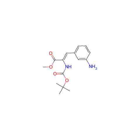 COC(=O)/C(=C/c1cccc(N)c1)NC(=O)OC(C)(C)C